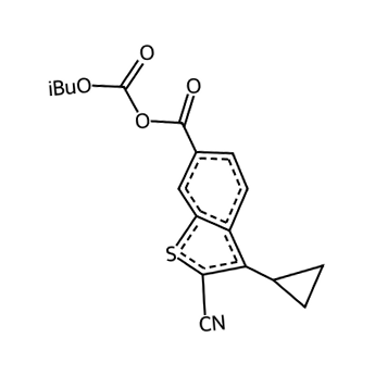 CC(C)COC(=O)OC(=O)c1ccc2c(C3CC3)c(C#N)sc2c1